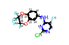 Fc1cnc(Cl)nc1Nc1ccc2c(c1)OC(F)(F)C(F)(F)O2